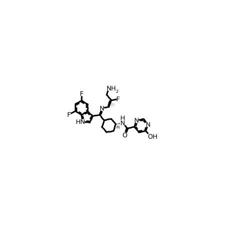 NC/C(F)=C\N=C(c1c[nH]c2c(F)cc(F)cc12)C1CCC[C@@H](NC(=O)c2cc(O)ncn2)C1